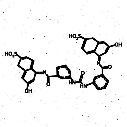 O=C(Nc1cccc(C(=O)N=C2C=C(O)C=C3CC(S(=O)(=O)O)=CC=C32)c1)Nc1cccc(C(=O)N=C2C=C(O)C=C3CC(S(=O)(=O)O)=CC=C32)c1